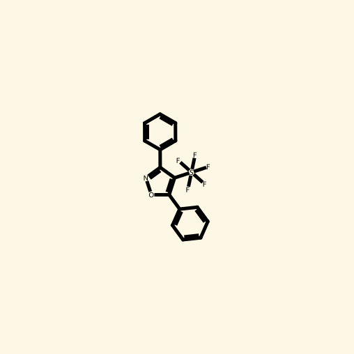 FS(F)(F)(F)(F)c1c(-c2ccccc2)noc1-c1ccccc1